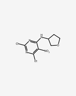 CCc1nc(Cl)nc(NC2CCOC2)c1[N+](=O)[O-]